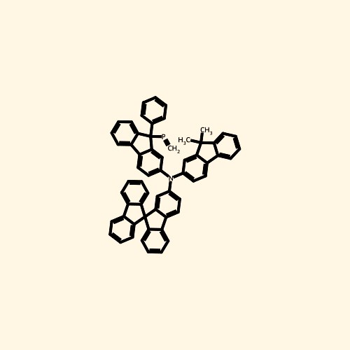 C=PC1(c2ccccc2)c2ccccc2-c2ccc(N(c3ccc4c(c3)C(C)(C)c3ccccc3-4)c3ccc4c(c3)C3(c5ccccc5-c5ccccc53)c3ccccc3-4)cc21